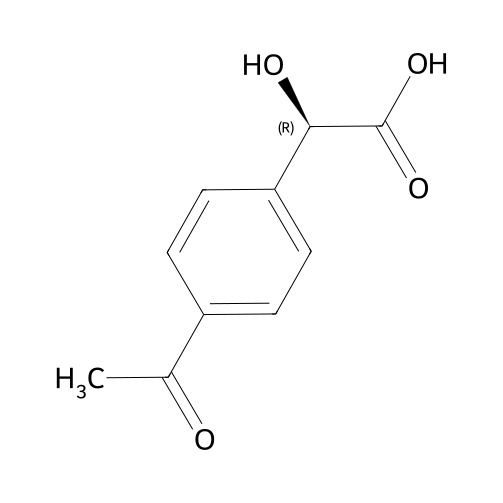 CC(=O)c1ccc([C@@H](O)C(=O)O)cc1